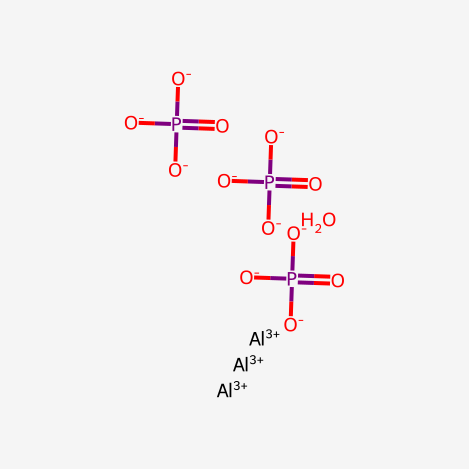 O.O=P([O-])([O-])[O-].O=P([O-])([O-])[O-].O=P([O-])([O-])[O-].[Al+3].[Al+3].[Al+3]